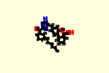 CCCCCCC1CCCC(C(=O)c2n[nH]c(Cc3ccc(-c4ccccc4C(=O)O)cc3)n2)C1